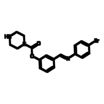 O=C(Oc1cccc(/C=N/c2ccc(Br)cc2)c1)N1CCNCC1